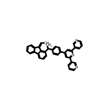 C/C=C1/c2ccccc2-c2cccc(C(C)c3ccc(-c4cc(-c5cccnc5)nc(-c5cccnc5)c4)cc3)c21